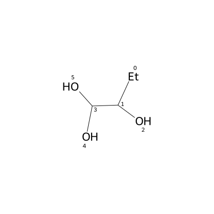 [CH2]CC(O)C(O)O